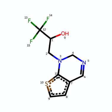 OC(CN1CN=Cc2ccsc21)C(F)(F)F